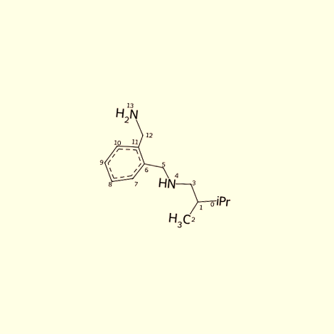 CC(C)C(C)CNCc1ccccc1CN